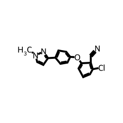 Cn1ccc(-c2ccc(Oc3cccc(Cl)c3C#N)cc2)n1